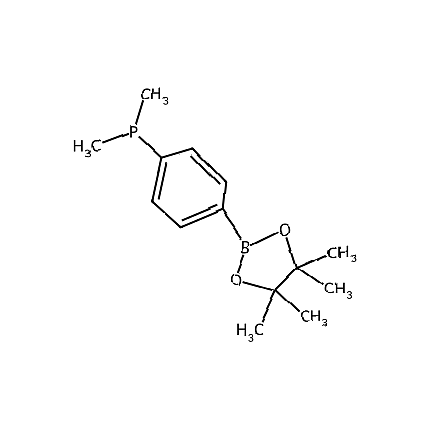 CP(C)c1ccc(B2OC(C)(C)C(C)(C)O2)cc1